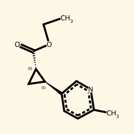 CCOC(=O)[C@H]1C[C@@H]1c1ccc(C)nc1